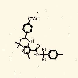 CCC(CC)(NC(=O)c1c(C)nn2c1NC(c1ccc(OC)cc1)CC2(C)C)c1ccc(C)cc1